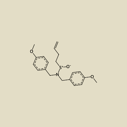 C=CCC[S+]([O-])N(Cc1ccc(OC)cc1)Cc1ccc(OC)cc1